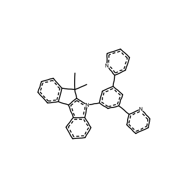 CC1(C)c2ccccc2-c2c1n(-c1cc(-c3ccccn3)cc(-c3ccccn3)c1)c1ccccc21